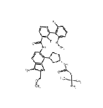 COCc1nc2c(N3CC[C@H](NC(=O)OC(C)(C)C)C3)c(NC(=O)c3ccnc(-c4c(F)cccc4OC)c3F)ccc2n1C